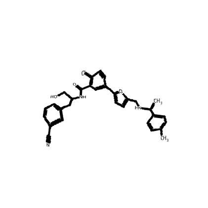 Cc1ccc(C(C)NCc2ccc(-c3ccc(Cl)c(C(=O)NC(CO)Cc4cccc(C#N)c4)c3)o2)cc1